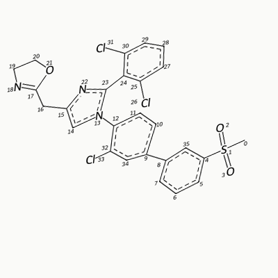 CS(=O)(=O)c1cccc(-c2ccc(-n3cc(CC4=NCCO4)nc3-c3c(Cl)cccc3Cl)c(Cl)c2)c1